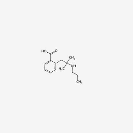 CCCNC(C)(C)Cc1ccccc1C(=O)O